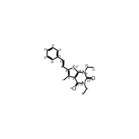 CCn1c(=O)c2c(C)c(C=Cc3ccccc3)sc2n(CC)c1=O